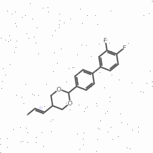 C/C=C/C1COC(c2ccc(-c3ccc(F)c(F)c3)cc2)OC1